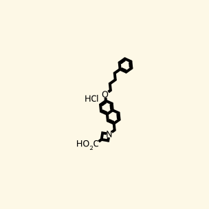 Cl.O=C(O)C1CN(Cc2ccc3cc(OCCCCc4ccccc4)ccc3c2)C1